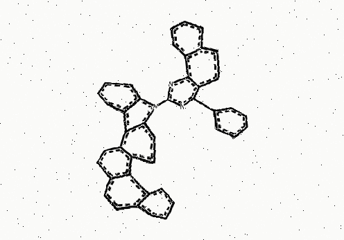 c1ccc(-c2nc(-n3c4ccccc4c4c5ccc6ccc7ccccc7c6c5ccc43)nc3c2ccc2ccccc23)cc1